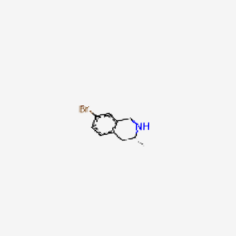 C[C@@H]1Cc2ccc(Br)cc2CN1